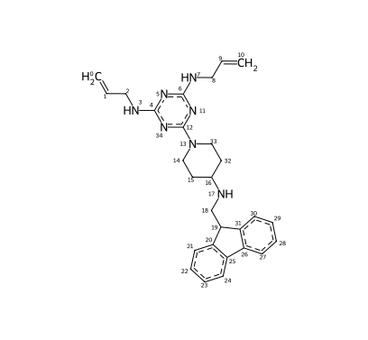 C=CCNc1nc(NCC=C)nc(N2CCC(NCC3c4ccccc4-c4ccccc43)CC2)n1